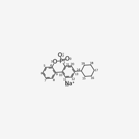 O=P1([O-])Oc2ccccc2-c2ccc(C3CCCCC3)cc21.[Na+]